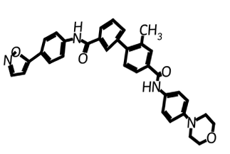 Cc1cc(C(=O)Nc2ccc(N3CCOCC3)cc2)ccc1-c1cccc(C(=O)Nc2ccc(-c3ccno3)cc2)c1